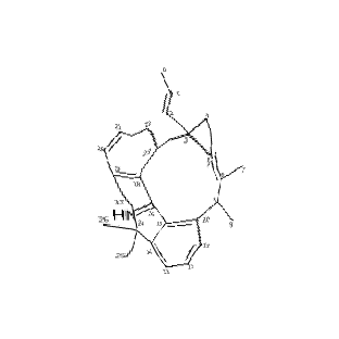 CC=CC12C/C1=C(\C)C(C)c1cccc3c1C(=N)C1=C(C=CCC12)C3(C)C